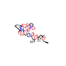 C#CCOC(C)(CC)CCOC(CCC)CC(=O)N1CCC(CC(=O)ON2C(=O)CCC2=O)(CC(=O)ON2C(=O)CCC2=O)CC1